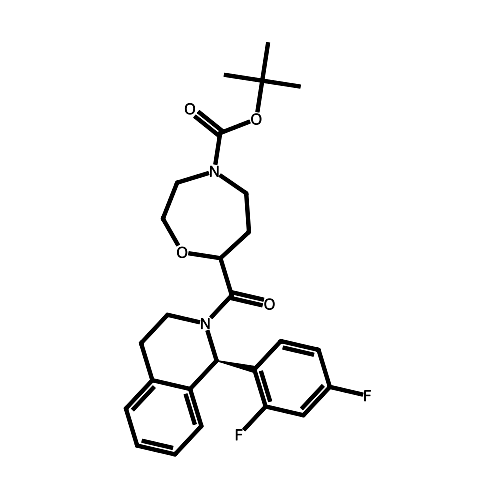 CC(C)(C)OC(=O)N1CCOC(C(=O)N2CCc3ccccc3[C@@H]2c2ccc(F)cc2F)CC1